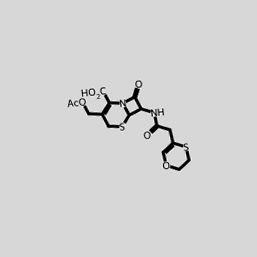 CC(=O)OCC1=C(C(=O)O)N2C(=O)C(NC(=O)CC3=COCCS3)C2SC1